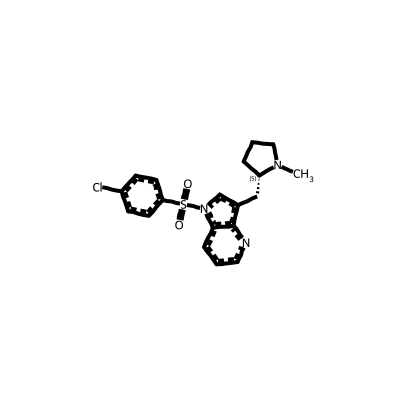 CN1CCC[C@H]1Cc1cn(S(=O)(=O)c2ccc(Cl)cc2)c2cccnc12